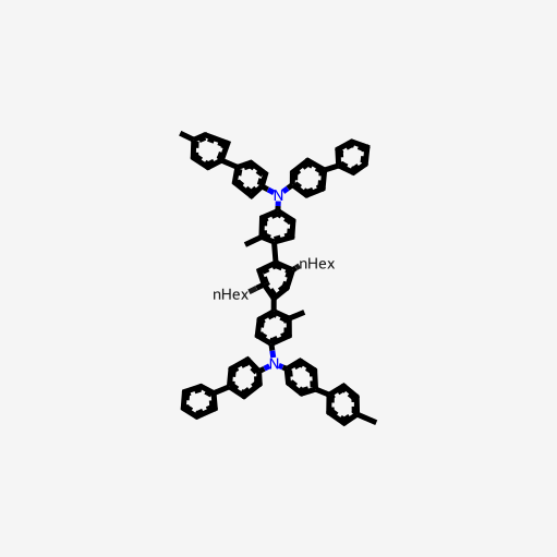 CCCCCCc1cc(-c2ccc(N(c3ccc(-c4ccccc4)cc3)c3ccc(-c4ccc(C)cc4)cc3)cc2C)c(CCCCCC)cc1-c1ccc(N(c2ccc(-c3ccccc3)cc2)c2ccc(-c3ccc(C)cc3)cc2)cc1C